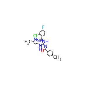 Cc1ccc(C(=O)/N=C(/NCc2ccc(F)cc2Cl)Nc2cc(C(F)(F)F)n[nH]2)cc1